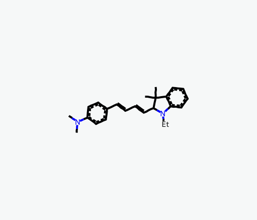 CCN1c2ccccc2C(C)(C)C1/C=C/C=C/c1ccc(N(C)C)cc1